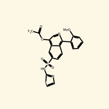 COc1ccccc1-c1ncc(OC(=O)C(F)(F)F)c2cc(S(=O)(=O)Nc3nccs3)ccc12